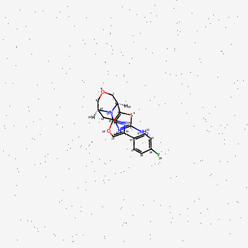 Nc1nc2c(s1)[C@@H]1COC[C@H](C2)N1c1nc(-c2ccc(F)cc2)co1